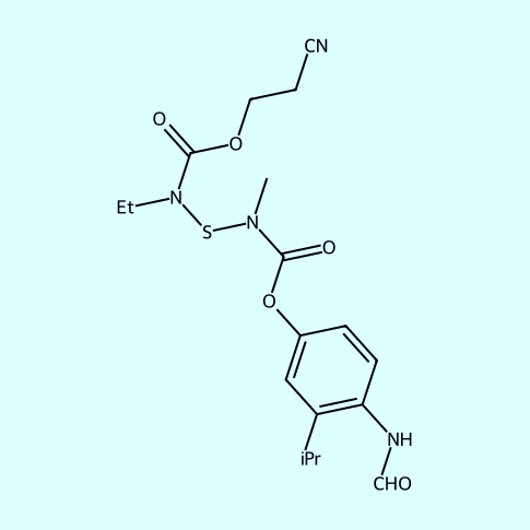 CCN(SN(C)C(=O)Oc1ccc(NC=O)c(C(C)C)c1)C(=O)OCCC#N